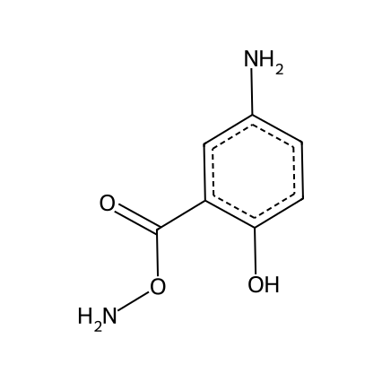 NOC(=O)c1cc(N)ccc1O